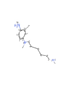 CNCCCCCCN(C)c1ccc(N)c(C)c1